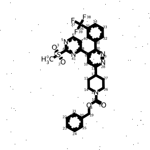 CS(=O)(=O)c1nccc(-c2cc(C3CCN(C(=O)OCc4ccccc4)CC3)nnc2-c2cccc(C(F)(F)F)c2)n1